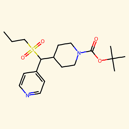 CCCS(=O)(=O)C(c1ccncc1)C1CCN(C(=O)OC(C)(C)C)CC1